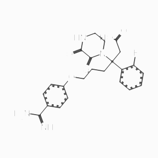 N=C(N)c1ccc(OCCCC(CC(=O)O)(c2ccccc2F)N2CCNC(=O)C2=O)cc1